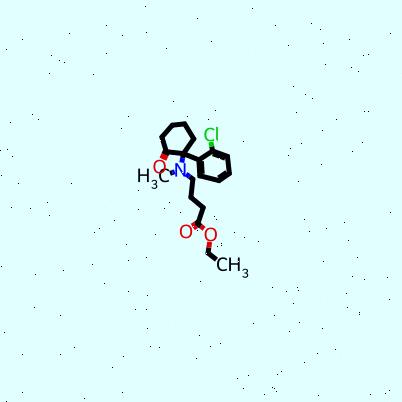 CCOC(=O)CCCN(C)C1(c2ccccc2Cl)CCCCC1=O